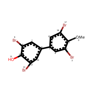 COc1c(Br)cc(-c2cc(Br)c(O)c(Br)c2)cc1Br